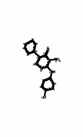 Nn1c(Nc2ccc(Cl)cc2)nnc(-c2ccccc2)c1=O